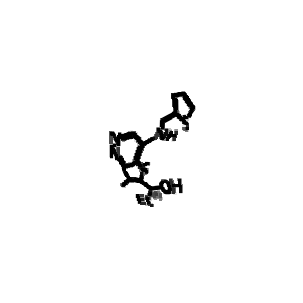 CC[C@H](O)c1sc2c(NCc3cccs3)cnnc2c1C